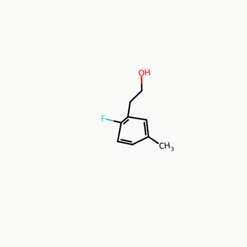 Cc1ccc(F)c(CCO)c1